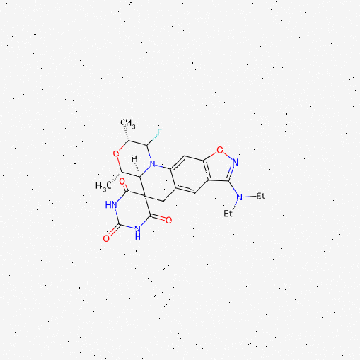 CCN(CC)c1noc2cc3c(cc12)CC1(C(=O)NC(=O)NC1=O)[C@H]1[C@H](C)O[C@H](C)C(F)N31